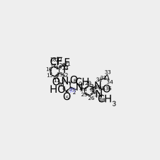 CN(/C=C(/C(=O)O)C(=O)N(C=O)Cc1cccc(Cl)c1C(F)(F)F)c1ccc2c(c1)n(CC1CC1)c(=O)n2C